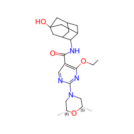 CCOc1nc(N2C[C@@H](C)O[C@@H](C)C2)ncc1C(=O)NC1C2CC3CC1CC(O)(C3)C2